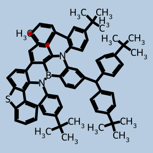 Cc1cc2c3c(c1)N(c1ccc(C(C)(C)C)cc1-c1ccccc1)c1cc(C(c4ccc(C(C)(C)C)cc4)c4ccc(C(C)(C)C)cc4)ccc1B3N(c1ccc(C(C)(C)C)cc1)c1c-2ccc2sc3ccccc3c12